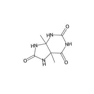 CC12NC(=O)NC(=O)C1(C)NC(=O)N2